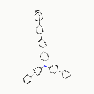 c1ccc(-c2ccc(N(c3ccc(-c4ccccc4)cc3)c3ccc(-c4ccc(-c5ccc(C67CC8CC(C6)C(C8)C7)cc5)cc4)cc3)cc2)cc1